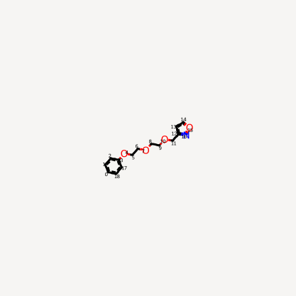 c1ccc(OCCOCCOCc2ccon2)cc1